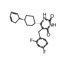 O=c1[nH]c(=O)c(Cc2ccc(F)cc2F)c([C@H]2CC[C@H](C3C=CC=CC3)CC2)[nH]1